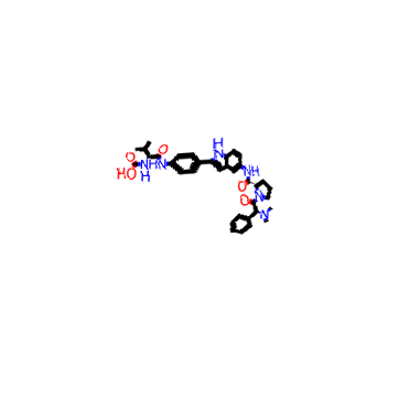 CC(C)[C@@H](NC(=O)O)C(=O)Nc1ccc(-c2cc3cc(NC(=O)[C@@H]4CCCN4C(=O)[C@@H](c4ccccc4)N(C)C)ccc3[nH]2)cc1